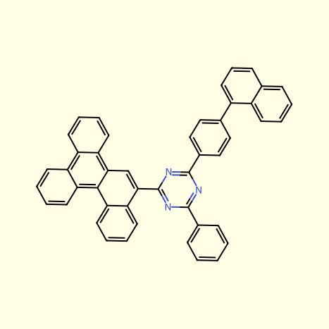 c1ccc(-c2nc(-c3ccc(-c4cccc5ccccc45)cc3)nc(-c3cc4c5ccccc5c5ccccc5c4c4ccccc34)n2)cc1